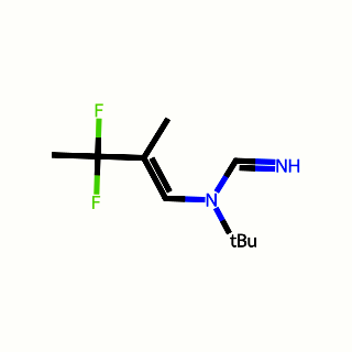 C/C(=C\N(C=N)C(C)(C)C)C(C)(F)F